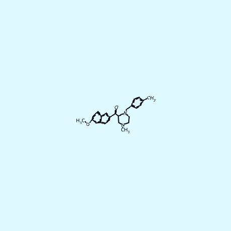 COc1ccc2cc(C(=O)C3CN(C)CCN3Cc3ccc(C)cc3)ccc2c1